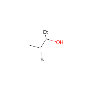 [CH2][C@H](C)C(O)CC